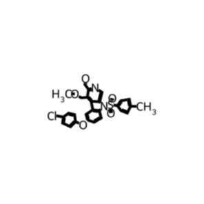 COCc1c(C=O)ncc2c1c1cc(Oc3ccc(Cl)cc3)ccc1n2S(=O)(=O)c1ccc(C)cc1